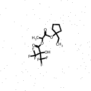 CCC1(OC(=O)C(C)OC(=O)C(O)(C(F)(F)F)C(F)(F)F)CCCC1